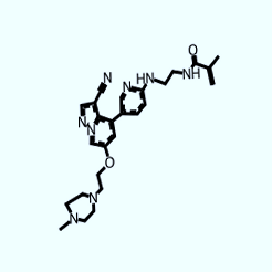 C=C(C)C(=O)NCCNc1ccc(-c2cc(OCCN3CCN(C)CC3)cn3ncc(C#N)c23)cn1